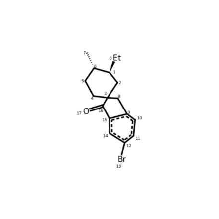 CC[C@H]1CC2(CC[C@@H]1C)Cc1ccc(Br)cc1C2=O